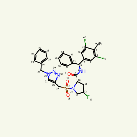 CC(C)c1c(F)cc([C@@H](NC(=O)[C@@H]2C[C@@H](F)CN2S(=O)(=O)Cc2cn(Cc3ccccc3)nn2)c2ccccc2)cc1F